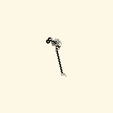 CCCCCCCCCCCCCCCCCCOC(=O)C[C@H](NC(=O)[C@]1(C(C)C)CC(c2nccc3ccccc23)=NO1)C(=O)CF